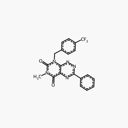 Cn1c(=O)c2nc(-c3ccccc3)nnc2n(Cc2ccc(C(F)(F)F)cc2)c1=O